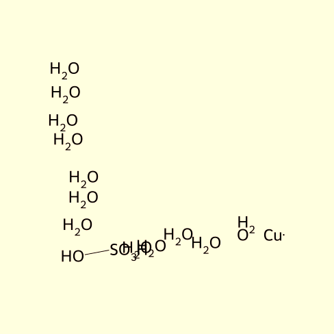 O.O.O.O.O.O.O.O.O.O.O.O.O=S(=O)(O)O.[Cu]